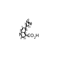 Cn1cc(-c2ccc3nccc(C(=O)O)c3c2)cn1